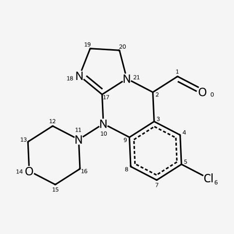 O=CC1c2cc(Cl)ccc2N(N2CCOCC2)C2=NCCN21